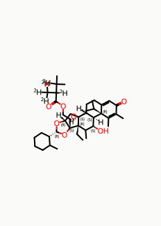 [2H]C([2H])([2H])C([2H])(C(=O)OCC(=O)[C@@]12O[C@H](C3CCCCC3C)O[C@@H]1C[C@H]1[C@@H]3CCC4=CC(=O)C(C)=C(C)[C@]4(C(C)C)[C@H]3[C@@H](O)C(C)[C@@]12CC)C([2H])(C)C